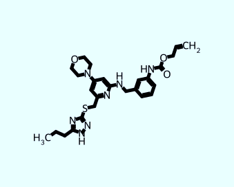 C=CCOC(=O)Nc1cccc(CNc2cc(N3CCOCC3)cc(CSc3n[nH]c(CCC)n3)n2)c1